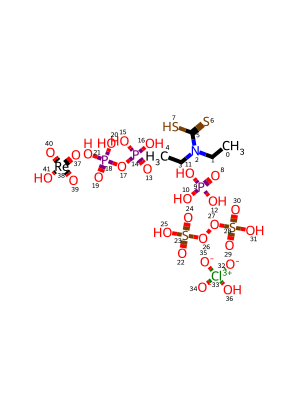 CCN(CC)C(=S)S.O=P(O)(O)O.O=P(O)(O)OP(=O)(O)O.O=S(=O)(O)OOS(=O)(=O)O.[O-][Cl+3]([O-])([O-])O.[O]=[Re](=[O])(=[O])[OH]